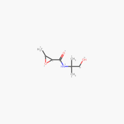 CC1OC1C(=O)NC(C)(C)CO